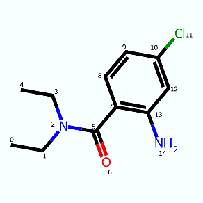 CCN(CC)C(=O)c1ccc(Cl)cc1N